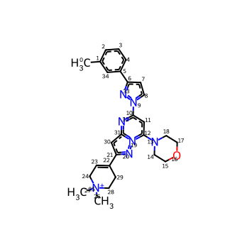 Cc1cccc(-c2ccn(-c3cc(N4CCOCC4)n4nc(C5=CC[N+](C)(C)CC5)cc4n3)n2)c1